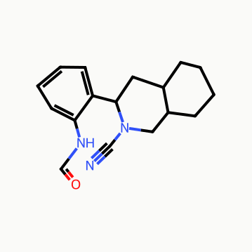 N#CN1CC2CCCCC2CC1c1ccccc1NC=O